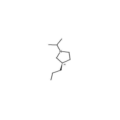 CCC[C@@H]1CCN(C(C)C)C1